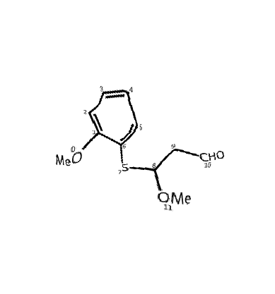 COc1ccccc1SC(CC=O)OC